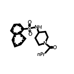 CCCC(=O)N1CCC(NS(=O)(=O)c2cccc3ccccc23)CC1